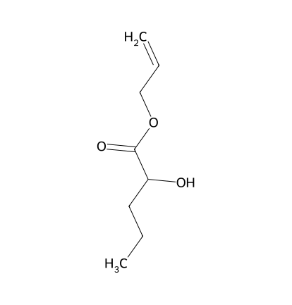 C=CCOC(=O)C(O)CCC